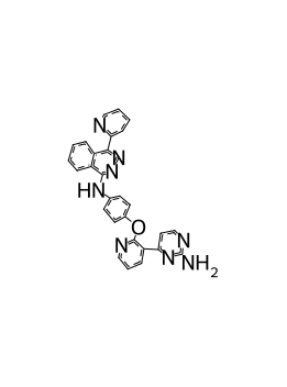 Nc1nccc(-c2cccnc2Oc2ccc(Nc3nnc(-c4ccccn4)c4ccccc34)cc2)n1